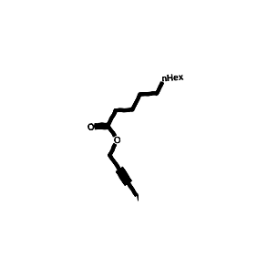 CCCCCCCCCCC(=O)OCC#CI